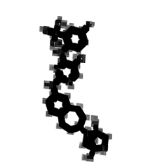 CP(C)(=O)c1cc(F)ccc1Nc1nc(Nc2ccc3c(c2)CC[C@@H](N2C[C@@H]4C[C@H]2CO4)CC3)ncc1Cl